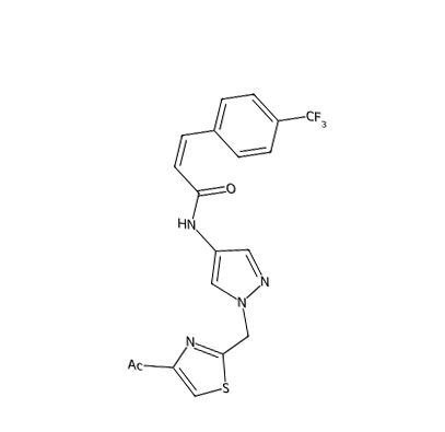 CC(=O)c1csc(Cn2cc(NC(=O)/C=C\c3ccc(C(F)(F)F)cc3)cn2)n1